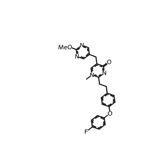 COc1ncc(Cc2cn(C)c(CCc3ccc(Oc4ccc(F)cc4)cc3)nc2=O)cn1